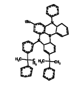 CC(C)(C)c1cc2c3c(c1)N(c1cccc(C(C)(C)c4ccccc4)c1)C1C=C(C(C)(C)c4ccccc4)C=CC1B3C1=CC=CCC1N2c1ccccc1